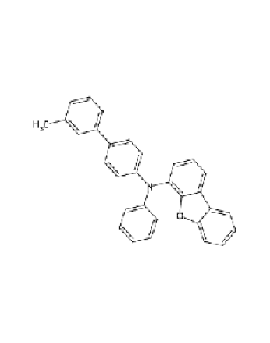 Cc1cccc(-c2ccc(N(c3ccccc3)c3cccc4c3oc3ccccc34)cc2)c1